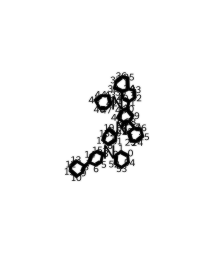 C1=CC(N(c2ccc(-c3ccccc3)cc2)c2cccc(-n3c4ccccc4c4cc5c6ccc7ccccc7c6n(-c6ccccc6)c5cc43)c2)=CCC1